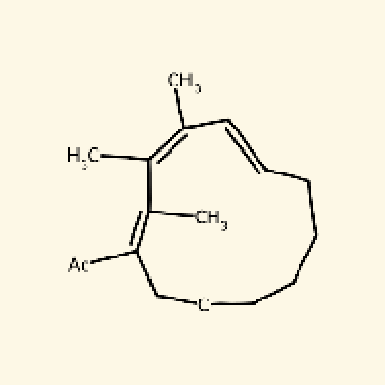 CC(=O)\C1=C(C)/C(C)=C(C)\C=C\CCCCCC1